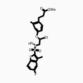 CCCN(CC(CC)Oc1ccc(CCC(=O)OC)c(C)c1)S(=O)(=O)c1sc2ccc(F)cc2c1C